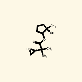 CC1(O)CCCC1OC(=O)C(C)(N)C1CN1